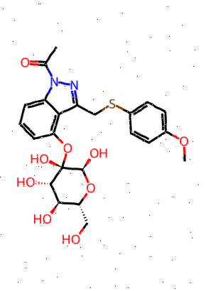 COc1ccc(SCc2nn(C(C)=O)c3cccc(O[C@]4(O)[C@@H](O)O[C@H](CO)[C@@H](O)[C@@H]4O)c23)cc1